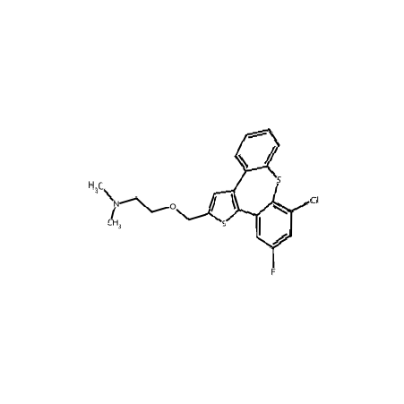 CN(C)CCOCc1cc2c(s1)-c1cc(F)cc(Cl)c1Sc1ccccc1-2